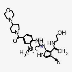 C=C(NCCO)c1c(C#N)c[nH]c1/N=C(\C)Nc1ccc(C(=O)N2CCC(N3CCOCC3)CC2)cc1OC